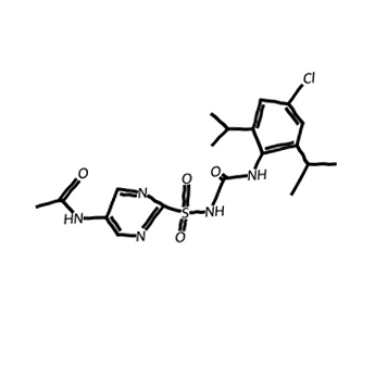 CC(=O)Nc1cnc(S(=O)(=O)NC(=O)Nc2c(C(C)C)cc(Cl)cc2C(C)C)nc1